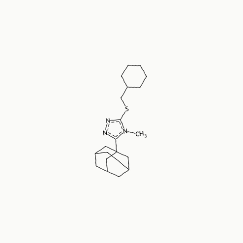 Cn1c(SCC2CCCCC2)nnc1C12CC3CC(CC(C3)C1)C2